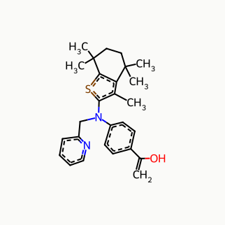 C=C(O)c1ccc(N(Cc2ccccn2)c2sc3c(c2C)C(C)(C)CCC3(C)C)cc1